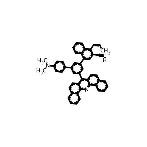 C#Cc1cc(-c2cc(-c3ccc(N(C)C)cc3)cc(-c3c4ccc5ccccc5c4nc4c3ccc3ccccc34)c2)c2ccccc2c1/C=C\C